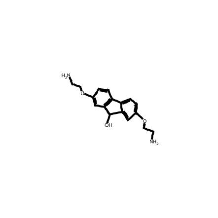 NCCOc1ccc2c(c1)C(O)c1cc(OCCN)ccc1-2